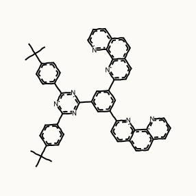 CC(C)(C)c1ccc(-c2nc(-c3ccc(C(C)(C)C)cc3)nc(-c3cc(-c4ccc5ccc6cccnc6c5n4)cc(-c4ccc5ccc6cccnc6c5n4)c3)n2)cc1